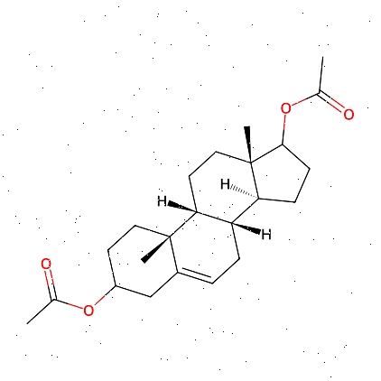 CC(=O)OC1CC[C@@]2(C)C(=CC[C@@H]3[C@H]2CC[C@]2(C)C(OC(C)=O)CC[C@@H]32)C1